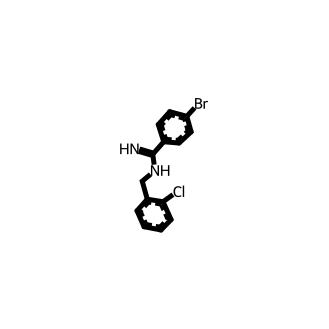 N=C(NCc1ccccc1Cl)c1ccc(Br)cc1